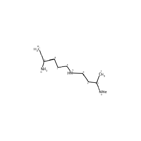 CNC(C)CCNCCCC(C)N